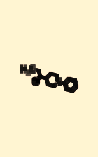 CCC(=O)C1CCN(c2ccccc2)CC1